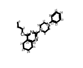 CCCOc1nc(N2CCN(c3ccccc3)CC2)nc2c1CCCC2